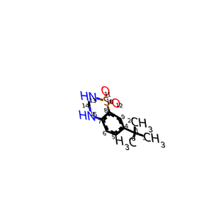 CC(C)(C)c1ccc2c(c1)S(=O)(=O)NCN2